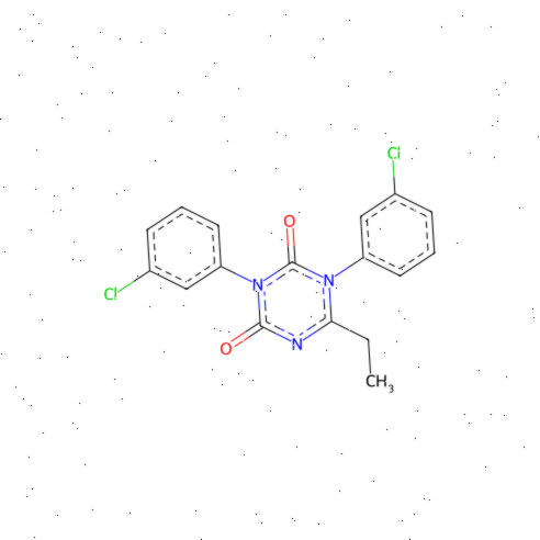 CCc1nc(=O)n(-c2cccc(Cl)c2)c(=O)n1-c1cccc(Cl)c1